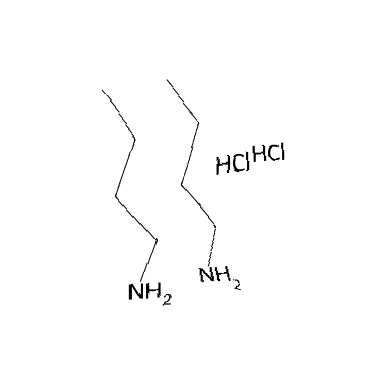 CCCCN.CCCCN.Cl.Cl